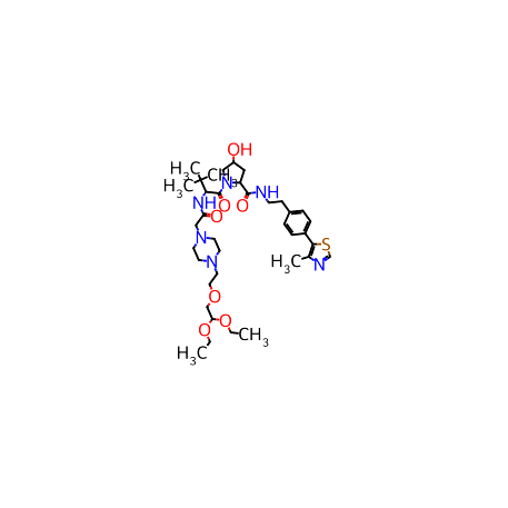 CCOC(COCCN1CCN(CC(=O)N[C@H](C(=O)N2CC(O)CC2C(=O)NCCc2ccc(-c3scnc3C)cc2)C(C)(C)C)CC1)OCC